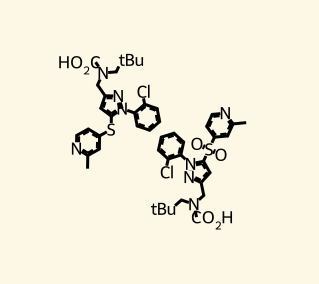 Cc1cc(S(=O)(=O)c2cc(CN(CC(C)(C)C)C(=O)O)nn2-c2ccccc2Cl)ccn1.Cc1cc(Sc2cc(CN(CC(C)(C)C)C(=O)O)nn2-c2ccccc2Cl)ccn1